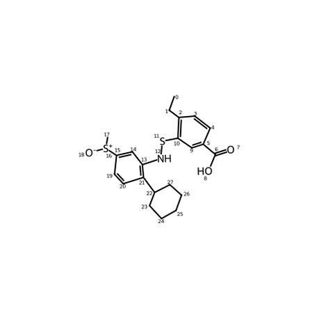 CCc1ccc(C(=O)O)cc1SNc1cc([S+](C)[O-])ccc1C1CCCCC1